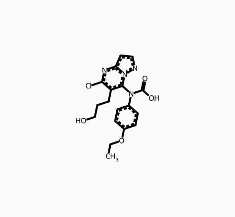 CCOc1ccc(N(C(=O)O)c2c(CCCO)c(Cl)nc3ccnn23)cc1